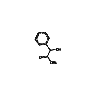 CC(C)COC(=O)C(O)c1ccccc1